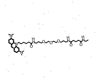 CCNC(=O)CCCC(=O)NCCCOCCOCCOCCCNC(=O)CCCCC[n+]1c2cc(N(C)C)ccc2cc2ccc(N(C)C)cc21